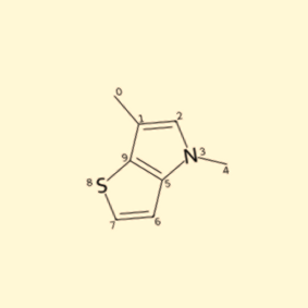 Cc1cn(C)c2ccsc12